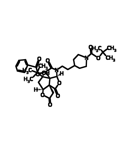 CC(C)(C)OC(=O)N1CCC(CCN2C(=O)[C@H](OC(=O)c3ccccc3)[C@@]34[C@@H]2OC(=O)[C@@]32CC(=O)O[C@H]2C[C@@]4(O)C(C)(C)C)CC1